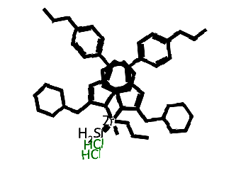 CCCc1ccc(-c2cccc3c2C=C(CC2CCCCC2)[CH]3[Zr]([CH3])(=[SiH2])([CH2]CC)[CH]2C(CC3CCCCC3)=Cc3c(-c4ccc(CCC)cc4)cccc32)cc1.Cl.Cl